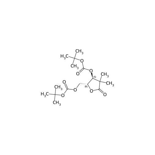 CC(C)(C)OC(=O)OC[C@H]1OC(=O)C(C)(C)[C@@H]1OC(=O)OC(C)(C)C